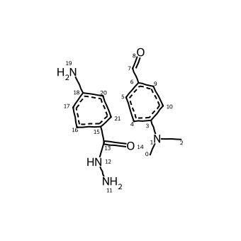 CN(C)c1ccc(C=O)cc1.NNC(=O)c1ccc(N)cc1